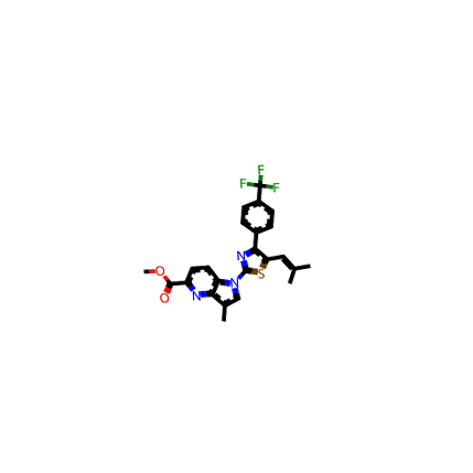 COC(=O)c1ccc2c(n1)c(C)cn2-c1nc(-c2ccc(C(F)(F)F)cc2)c(C=C(C)C)s1